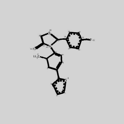 CC1CC(c2cccs2)=CC=C1N1C(=O)CSC1c1ccc(F)cc1